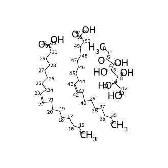 CCC(=O)[C@H](O)[C@@H](O)[C@H](O)[C@H](O)CO.CCCCCCCC/C=C\CCCCCCCC(=O)O.CCCCCCCC/C=C\CCCCCCCC(=O)O